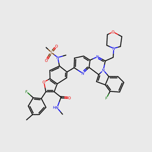 CNC(=O)c1c(-c2ccc(C)cc2F)oc2cc(N(C)S(C)(=O)=O)c(-c3ccc4nc(CN5CCOCC5)n5c6cccc(F)c6cc5c4n3)cc12